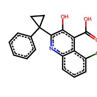 O=C(O)c1c(O)c(C2(c3ccccc3)CC2)nc2cccc(Cl)c12